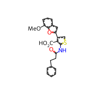 COc1cccc2cc(-c3csc(NC(=O)CCc4ccccc4)c3C(=O)O)oc12